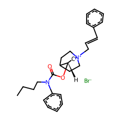 CCCCN(C(=O)O[C@H]1C[N+]2(C/C=C/c3ccccc3)CCC1CC2)c1ccccc1.[Br-]